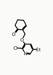 CCc1cnc(Cl)c(OCC2=CCCCC2=O)c1